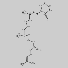 CC(C)=CCCC(C)=CCCC(C)=CCCC=C(C)CCC1CCCCC1=O